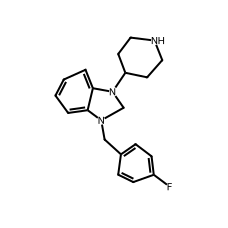 Fc1ccc(CN2CN(C3CCNCC3)c3ccccc32)cc1